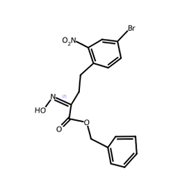 O=C(OCc1ccccc1)/C(CCc1ccc(Br)cc1[N+](=O)[O-])=N\O